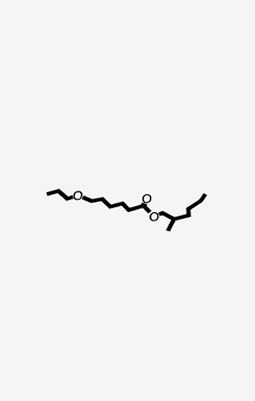 CCCCC(C)COC(=O)CCCCCOCCC